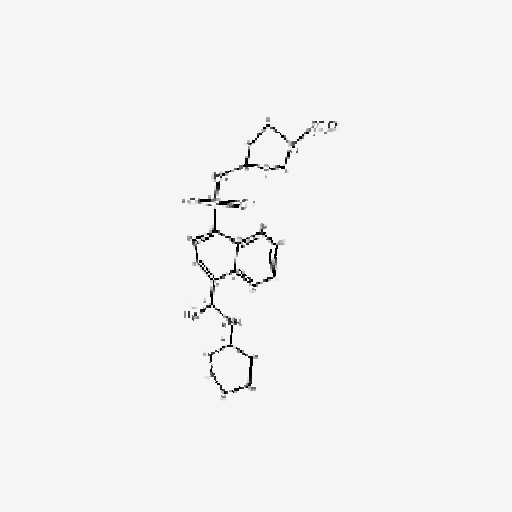 CCOC(=O)N1CCC(NS(=O)(=O)c2ccc(C(C)NC3CCCCC3)c3ccccc23)CC1